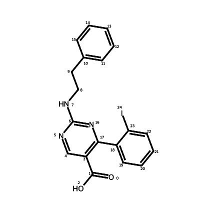 O=C(O)c1cnc(NCCc2ccccc2)nc1-c1ccccc1I